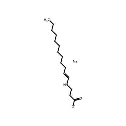 CCCCCCCCCCC=CNCCC(=O)[O-].[Na+]